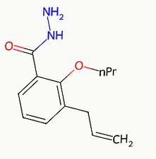 C=CCc1cccc(C(=O)NN)c1OCCC